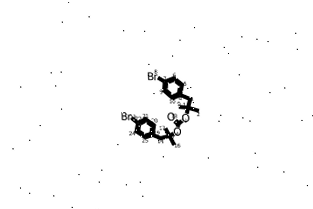 CC(C)(Cc1ccc(Br)cc1)OC(=O)OC(C)(C)Cc1ccc(Br)cc1